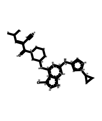 CC(C)/C=C(\C#N)C(=O)N1CCCC(Oc2nc(Nc3cnn(C4CC4)c3)nc3[nH]nc(Cl)c23)C1